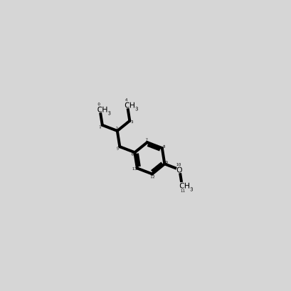 CCC(CC)Cc1ccc(OC)cc1